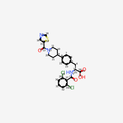 O=C(N[C@@H](Cc1ccc(C2CCN(C(=O)c3cncs3)CC2)cc1)C(=O)O)c1c(Cl)cccc1Cl